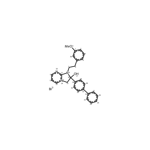 COc1cccc(CCN2c3nccc[n+]3CC2(O)c2ccc(-c3ccccc3)cc2)c1.[Br-]